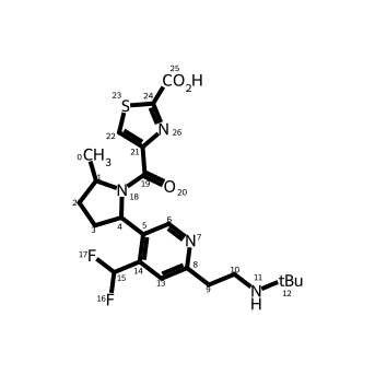 CC1CCC(c2cnc(CCNC(C)(C)C)cc2C(F)F)N1C(=O)c1csc(C(=O)O)n1